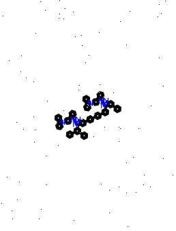 c1ccc(-c2cc(-c3ccccc3)cc(-c3nc(-n4c5ccccc5c5cc(-n6c7ccccc7c7ccccc76)ccc54)nc4cc(-c5ccc(-c6ccc(-c7cccc(-c8nc(-n9c%10ccccc%10c%10cc(-n%11c%12ccccc%12c%12ccccc%12%11)ccc%109)nc9ccc(-c%10ccccc%10)cc89)c7)cc6)cc5)ccc34)c2)cc1